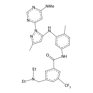 CCN(CC)Cc1cc(C(=O)Nc2ccc(C)c(Nc3cc(C)nn3-c3cc(NC)ncn3)c2)cc(C(F)(F)F)c1